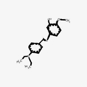 CCN(CC)c1ccc(C=Nc2ccc(OC)c(O)c2)cc1